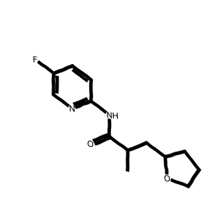 CC(CC1CCCO1)C(=O)Nc1ccc(F)cn1